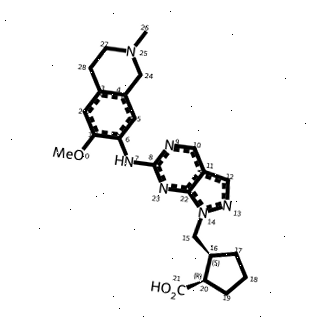 COc1cc2c(cc1Nc1ncc3cnn(C[C@H]4CCC[C@H]4C(=O)O)c3n1)CN(C)CC2